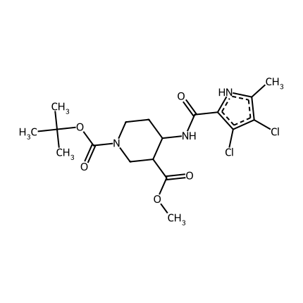 COC(=O)C1CN(C(=O)OC(C)(C)C)CCC1NC(=O)c1[nH]c(C)c(Cl)c1Cl